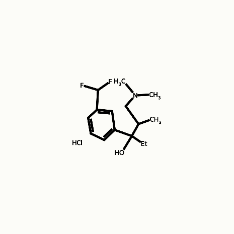 CCC(O)(c1cccc(C(F)F)c1)C(C)CN(C)C.Cl